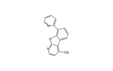 N#Cc1ccnc2oc3c(-c4ccccn4)cccc3c12